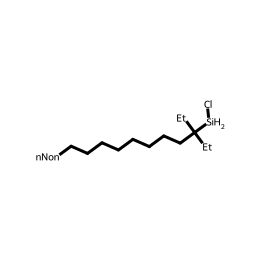 CCCCCCCCCCCCCCCCCC(CC)(CC)[SiH2]Cl